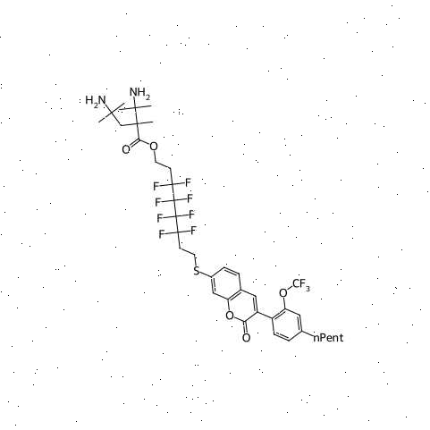 CCCCCc1ccc(-c2cc3ccc(SCCC(F)(F)C(F)(F)C(F)(F)C(F)(F)CCOC(=O)C(C)(CC(C)(C)N)C(C)(C)N)cc3oc2=O)c(OC(F)(F)F)c1